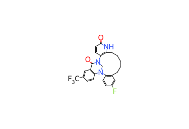 O=C1c2cc(C(F)(F)F)ccc2N2CN1c1ccc(=O)[nH]c1CCCCCc1cc(F)ccc12